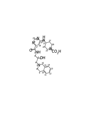 O=C(NCC(O)CN1CCc2ccccc2C1)c1cc(NC2CCN(C(=O)O)CC2)ncn1